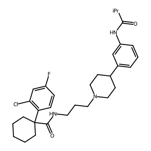 CC(C)C(=O)Nc1cccc(C2CCN(CCCNC(=O)C3(c4ccc(F)cc4Cl)CCCCC3)CC2)c1